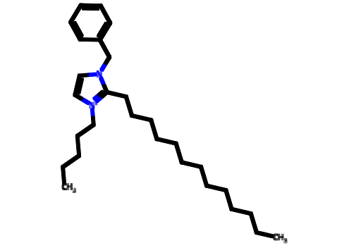 CCCCCCCCCCCCCc1n(Cc2ccccc2)cc[n+]1CCCCC